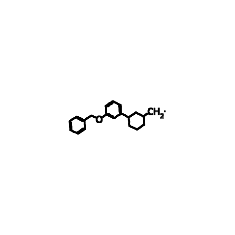 [CH2]C1CCCC(c2cccc(OCc3ccccc3)c2)C1